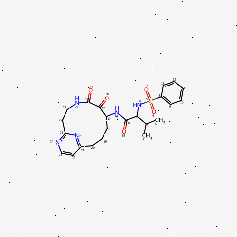 CC(C)C(NS(=O)(=O)c1ccccc1)C(=O)NC1CCCc2ccnc(n2)CCNC(=O)C1=O